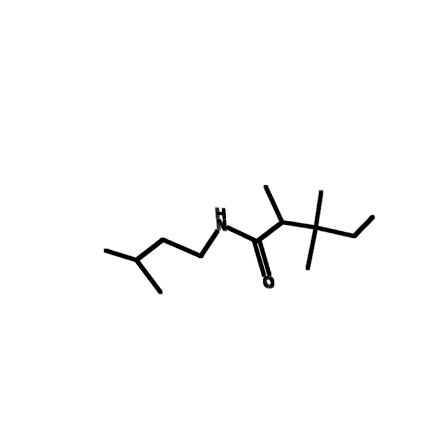 CCC(C)(C)C(C)C(=O)NCCC(C)C